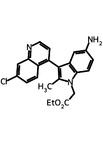 CCOC(=O)Cn1c(C)c(-c2ccnc3cc(Cl)ccc23)c2cc(N)ccc21